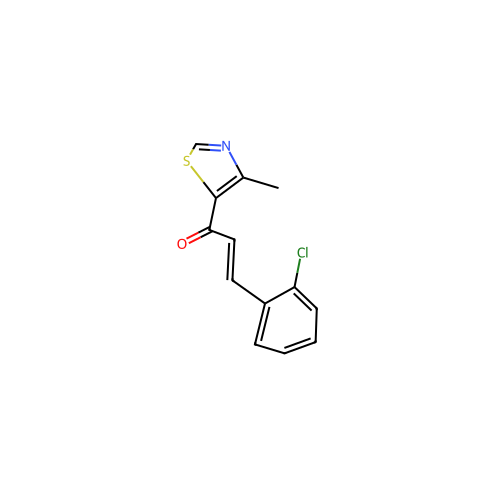 Cc1ncsc1C(=O)/C=C/c1ccccc1Cl